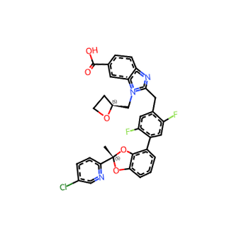 C[C@]1(c2ccc(Cl)cn2)Oc2cccc(-c3cc(F)c(Cc4nc5ccc(C(=O)O)cc5n4C[C@@H]4CCO4)cc3F)c2O1